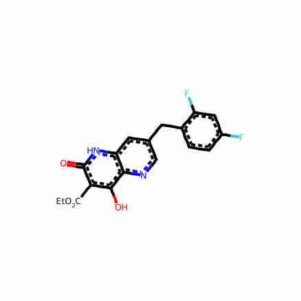 CCOC(=O)c1c(O)c2ncc(Cc3ccc(F)cc3F)cc2[nH]c1=O